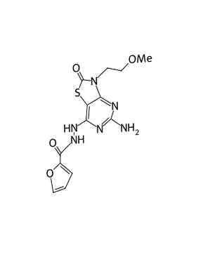 COCCn1c(=O)sc2c(NNC(=O)c3ccco3)nc(N)nc21